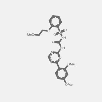 COCCOc1ccccc1S(=O)(=O)NC(=O)Nc1ncnc(-c2ccc(OC)cc2OC)n1